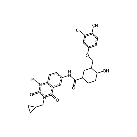 CC(C)n1c(=O)n(CC2CC2)c(=O)c2cc(NC(=O)C3CCC(O)C(COc4ccc(C#N)c(Cl)c4)C3)ccc21